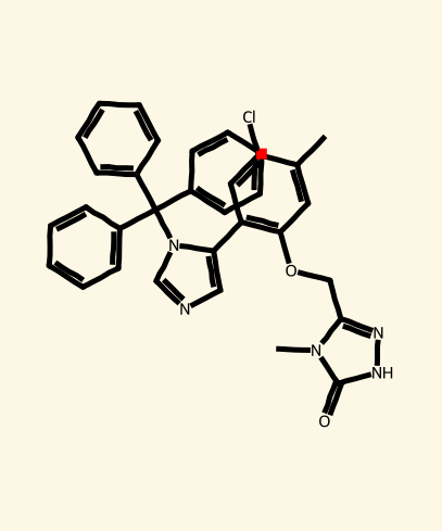 Cc1cc(OCc2n[nH]c(=O)n2C)c(-c2cncn2C(c2ccccc2)(c2ccccc2)c2ccccc2)cc1Cl